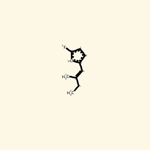 CC/C(C)=C/c1ccc(F)o1